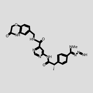 CN/C(=N\N=N)c1ccc([C@H](C)C(=O)Nc2cc(C(=O)NCc3ccc4c(c3)NC(=O)CO4)ncn2)cc1